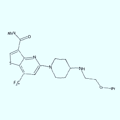 CNC(=O)c1csc2c(C(F)(F)F)cc(N3CCC(NCCOC(C)C)CC3)nc12